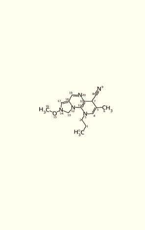 CCCN1C=C(C)C(C#N)C2=C1N1CN(OC)C=C1C=N2